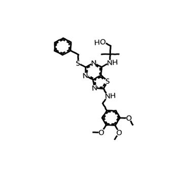 COc1cc(CNc2nc3nc(SCc4ccccc4)nc(NC(C)(C)CO)c3s2)cc(OC)c1OC